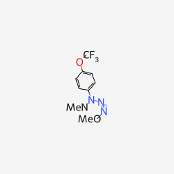 CNN(/N=N\OC)c1ccc(OC(F)(F)F)cc1